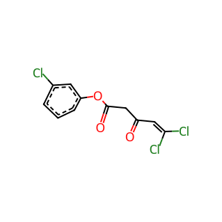 O=C(C=C(Cl)Cl)CC(=O)Oc1cccc(Cl)c1